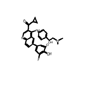 CN(C)CC(O)c1ccc(Nc2c(C(=O)C3CC3)cnc3ccc(-c4cc(F)c(O)c(Cl)c4)cc23)cc1